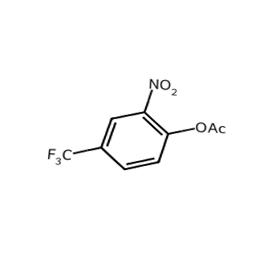 CC(=O)Oc1ccc(C(F)(F)F)cc1[N+](=O)[O-]